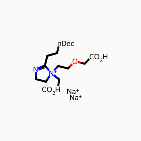 CCCCCCCCCCCCC1=NCC[N+]1(CCOCC(=O)O)CC(=O)O.[Na+].[Na+]